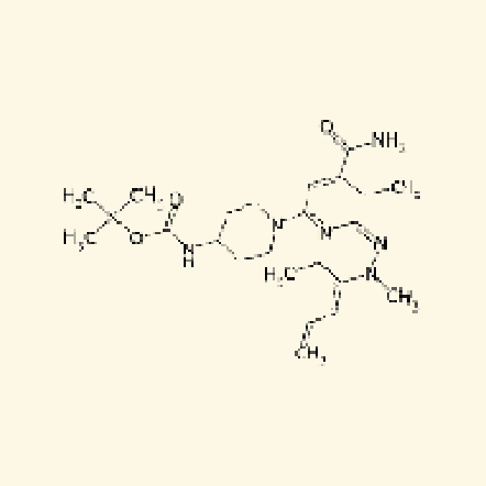 C=C/C=C(\CC)N(C)\N=C/N=C(\C=C(/CC)C(N)=O)N1CCC(NC(=O)OC(C)(C)C)CC1